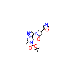 CC1Cn2ncc(N3CC(c4cnco4)CC3=O)c2CN1C(=O)OC(C)(C)C